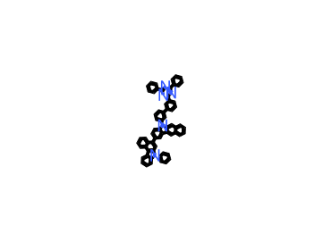 c1ccc(-c2nc(-c3ccccc3)nc(-c3cccc(-c4cccc(-n5c6ccc(-c7cc8c(c9ccccc79)c7ccccc7n8-c7ccccc7)cc6c6cc7ccccc7cc65)c4)c3)n2)cc1